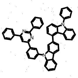 c1ccc(-c2cc(-c3cccc(-n4c5ccccc5c5ccc(-c6cccc7c6c6ccccc6n7-c6ccccc6)cc54)c3)nc(-c3ccccc3)n2)cc1